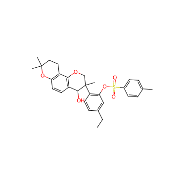 CCc1ccc(C2(C)COc3c(ccc4c3CCC(C)(C)O4)C2O)c(OS(=O)(=O)c2ccc(C)cc2)c1